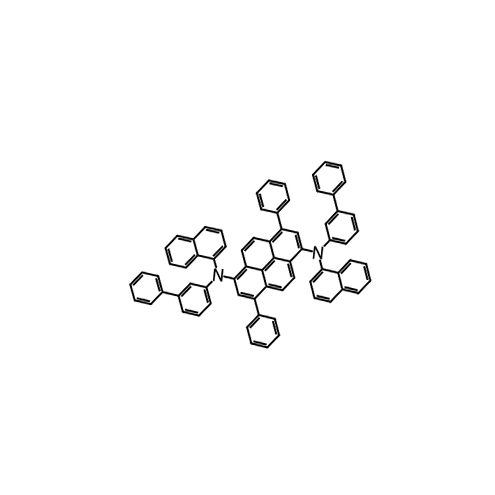 c1ccc(-c2cccc(N(c3cccc4ccccc34)c3cc(-c4ccccc4)c4ccc5c(N(c6cccc(-c7ccccc7)c6)c6cccc7ccccc67)cc(-c6ccccc6)c6ccc3c4c65)c2)cc1